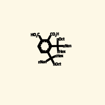 CCCCCCCCCC(CCCCCC)(CCCCCCCC)c1ccc(C(=O)O)c(C(=O)O)c1C(CCCCCC)(CCCCCCCC)CCCCCCCCC